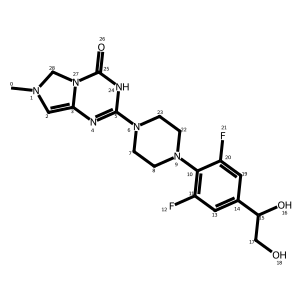 CN1C=C2N=C(N3CCN(c4c(F)cc(C(O)CO)cc4F)CC3)NC(=O)N2C1